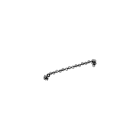 Cc1nnc(-c2ccc(OCCOCCOCCOCCOCCOCCOCCOCCOCCOCCOCCOCCOCCC(=O)ON3C(=O)CCC3=O)cc2)nn1